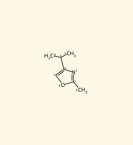 [CH2]c1nc(C(C)C)co1